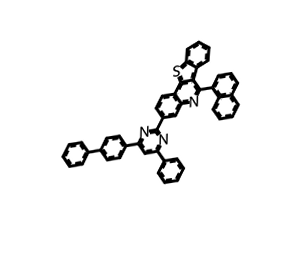 c1ccc(-c2ccc(-c3cc(-c4ccccc4)nc(-c4ccc5c(c4)nc(-c4cccc6ccccc46)c4c6ccccc6sc54)n3)cc2)cc1